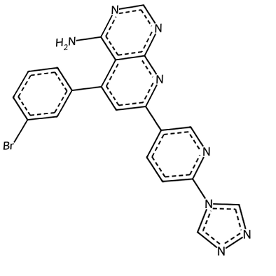 Nc1ncnc2nc(-c3ccc(-n4cnnc4)nc3)cc(-c3cccc(Br)c3)c12